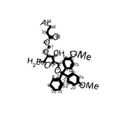 B[C@@H]1O[C@H](COC(c2ccccc2)(c2ccc(OC)cc2)c2ccc(OC)cc2)C(O)C1OCOC(=O)CCC(C)=O